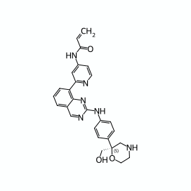 C=CC(=O)Nc1ccnc(-c2cccc3cnc(Nc4ccc([C@@]5(CO)CNCCO5)cc4)nc23)c1